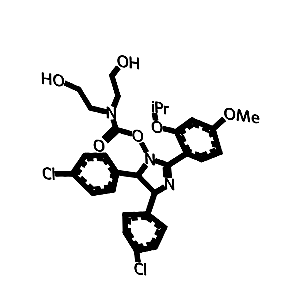 COc1ccc(C2=NC(c3ccc(Cl)cc3)C(c3ccc(Cl)cc3)N2OC(=O)N(CCO)CCO)c(OC(C)C)c1